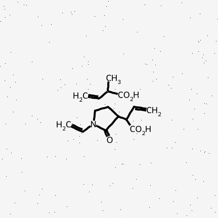 C=CC(C(=O)O)C1CCN(C=C)C1=O.C=CC(C)C(=O)O